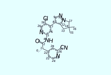 C[C@H](C(=O)Nc1cc(-c2cnn3c2CC(C)(C)C3)c(Cl)cn1)c1ccnc(C#N)c1